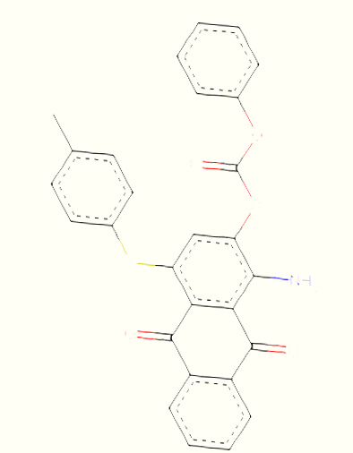 Cc1ccc(Sc2cc(OC(=O)Oc3ccccc3)c(N)c3c2C(=O)c2ccccc2C3=O)cc1